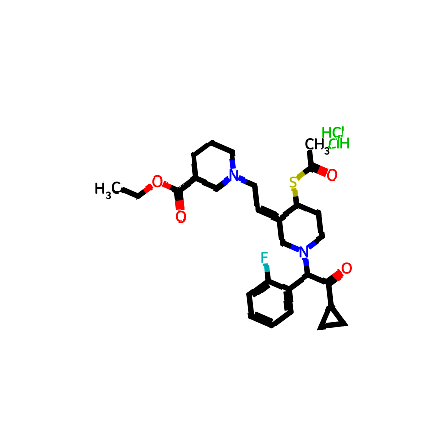 CCOC(=O)C1CCCN(C/C=C2/CN(C(C(=O)C3CC3)c3ccccc3F)CCC2SC(C)=O)C1.Cl.Cl